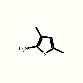 Cc1cc(C)c([N+](=O)[O-])s1